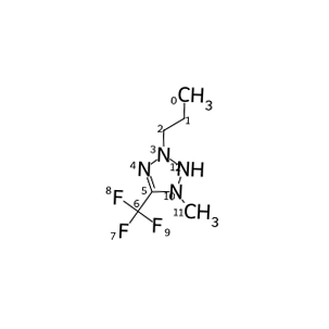 CCCN1N=C(C(F)(F)F)N(C)N1